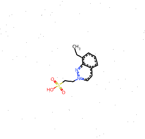 CCc1cccc2cc[n+](CCS(=O)(=O)O)nc12